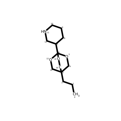 CCCC12COC(C3CCCNC3)(OC1)OC2